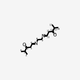 CC(C)C(=O)CC=NCCN=CCC(=O)C(C)C